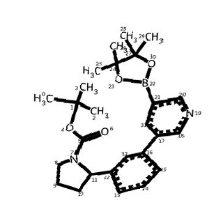 CC(C)(C)OC(=O)N1CCCC1c1cccc(-c2cncc(B3OC(C)(C)C(C)(C)O3)c2)c1